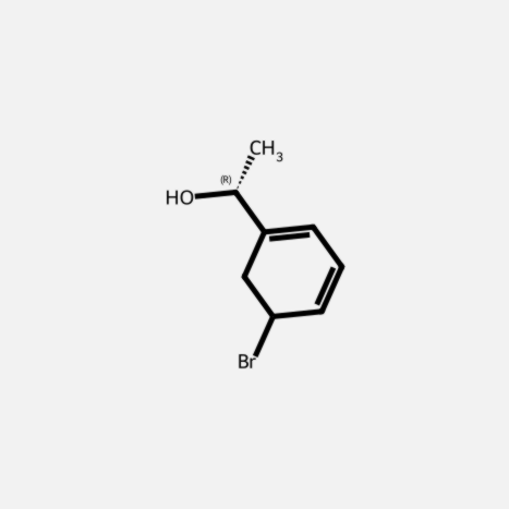 C[C@@H](O)C1=CC=CC(Br)C1